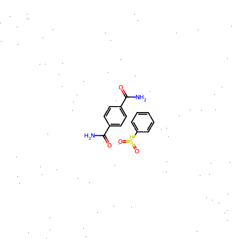 NC(=O)c1ccc(C(N)=O)cc1.O=[SH](=O)c1ccccc1